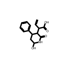 C=CC(C(=O)O)C1C(=O)NC(O)CC1c1ccccc1